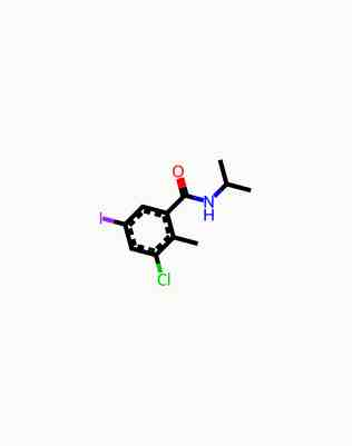 Cc1c(Cl)cc(I)cc1C(=O)NC(C)C